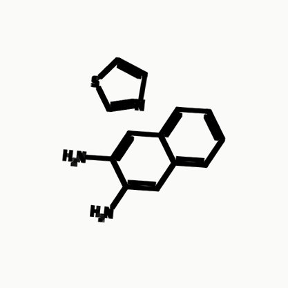 Nc1cc2ccccc2cc1N.c1cscn1